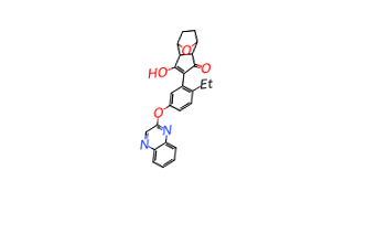 CCc1ccc(Oc2cnc3ccccc3n2)cc1C1=C(O)C2C3CCC(O3)C2C1=O